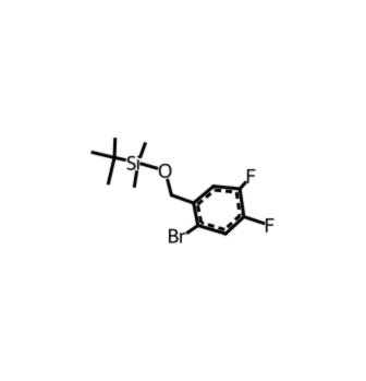 CC(C)(C)[Si](C)(C)OCc1cc(F)c(F)cc1Br